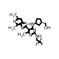 Cc1cc2sc(-c3c(C)nc(NCC(F)(F)F)nc3N[C@H]3CC[C@@H](CO)C3)nc2c(C)n1